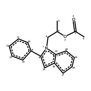 CC(=O)OC(C)Cn1c(-c2ccccc2)cc2ccccc21